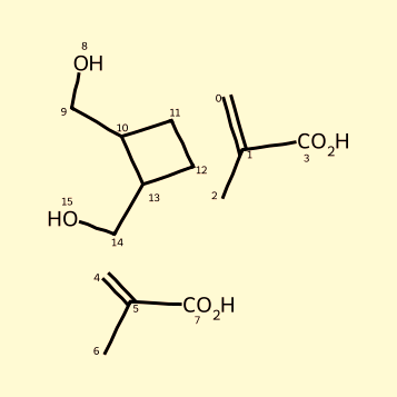 C=C(C)C(=O)O.C=C(C)C(=O)O.OCC1CCC1CO